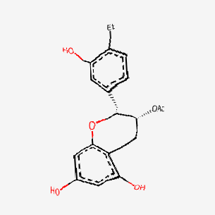 CCc1ccc([C@H]2Oc3cc(O)cc(O)c3C[C@H]2OC(C)=O)cc1O